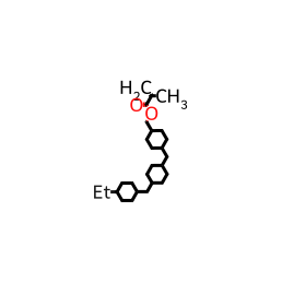 C=C(C)C(=O)OCC1CCC(CC2CCC(CC3CCC(CC)CC3)CC2)CC1